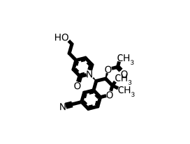 CC(=O)O[C@@H]1[C@@H](n2ccc(CCO)cc2=O)c2cc(C#N)ccc2OC1(C)C